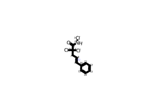 O=C(NCl)C(Cl)(Cl)C/C=C/c1ccccc1